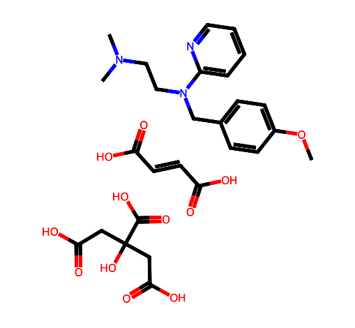 COc1ccc(CN(CCN(C)C)c2ccccn2)cc1.O=C(O)C=CC(=O)O.O=C(O)CC(O)(CC(=O)O)C(=O)O